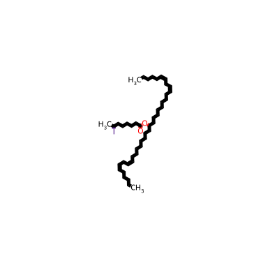 CCCCC/C=C\C/C=C\CCCCCCCCC(CCCCCCCC/C=C\C/C=C\CCCCC)OC(=O)CCCCCC(C)I